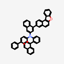 c1ccc(-c2ccc(N(c3cc(-c4ccc5c(ccc6oc7ccccc7c65)c4)c4ccccc4c3)c3ccccc3-c3cccc4ccccc34)cc2)cc1